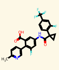 Cc1ccc(-c2c(F)cc(NC(=O)C3(c4ccc(C(F)(F)F)cc4F)CC3)cc2C(=O)O)cn1